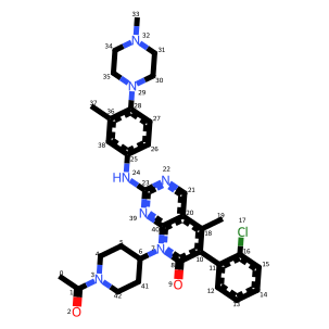 CC(=O)N1CCC(n2c(=O)c(-c3ccccc3Cl)c(C)c3cnc(Nc4ccc(N5CCN(C)CC5)c(C)c4)nc32)CC1